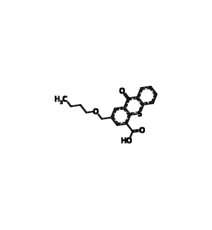 CCCCOCc1cc(C(=O)O)c2sc3ccccc3c(=O)c2c1